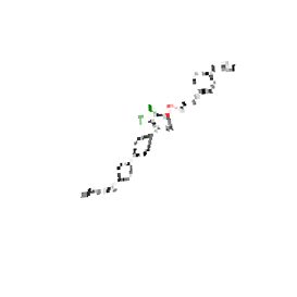 CCCCCC1CCC(C2C=CC(c3ccc(OCCCC4CCC(CCCC)CC4)c(F)c3F)CC2)CC1